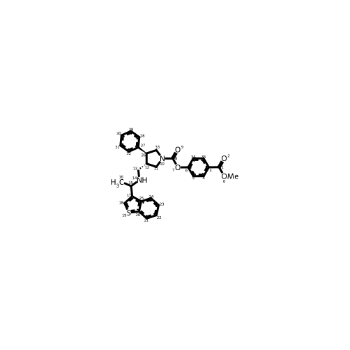 COC(=O)c1ccc(OC(=O)N2C[C@H](CNC(C)c3csc4ccccc34)[C@@H](c3ccccc3)C2)cc1